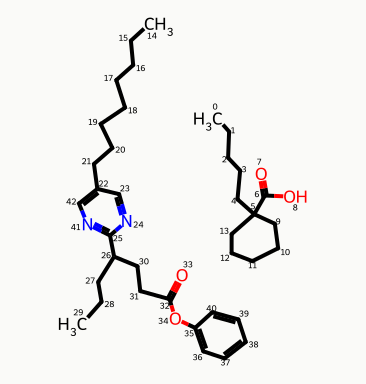 CCCCCC1(C(=O)O)CCCCC1.CCCCCCCCc1cnc(C(CCC)CCC(=O)Oc2ccccc2)nc1